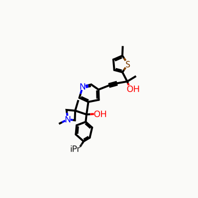 Cc1ccc(C(C)(O)C#Cc2cncc(C(O)(c3ccc(C(C)C)cc3)C3(C)CN(C)C3)c2)s1